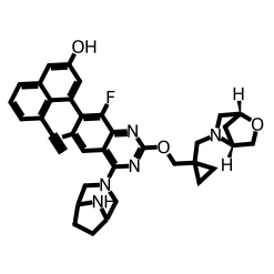 C#Cc1cccc2cc(O)cc(-c3c(C)cc4c(N5CC6CCC(C5)N6)nc(OCC5(CN6C[C@H]7C[C@@H]6CO7)CC5)nc4c3F)c12